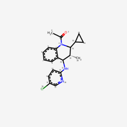 CC(=O)N1c2ccccc2C(Nc2ccc(Cl)cn2)[C@@H](C)C1C1CC1